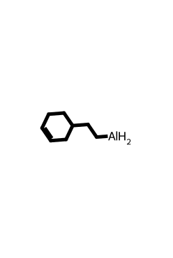 [AlH2][CH2]CC1CC=CCC1